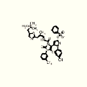 Cc1c(-c2ccnn2-c2ccc(C#N)cc2)n(C(=O)NC[C@@H](C)Cc2ncc(C[N+](C)(C)C)o2)c(=O)n1-c1cccc(C(F)(F)F)c1.O=S(=O)([O-])c1ccccc1